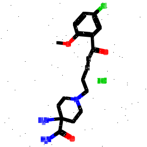 COc1ccc(Cl)cc1C(=O)CCCCN1CCC(N)(C(N)=O)CC1.Cl